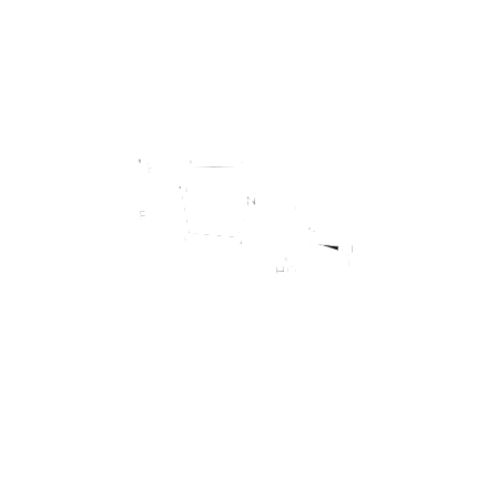 O[C@@H](CN1CCC(F)(F)CC1)C(F)(F)F